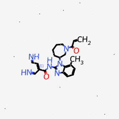 C=CC(=O)N1CCCCC(n2c(NC(=O)/C(C=N)=C/C=N)nc3cccc(C)c32)C1